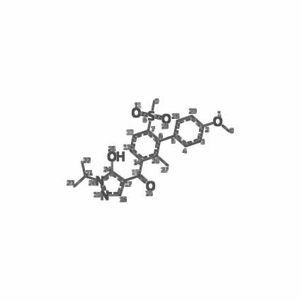 COc1ccc(-c2c(S(C)(=O)=O)ccc(C(=O)c3cnn(C(C)C)c3O)c2C)cc1